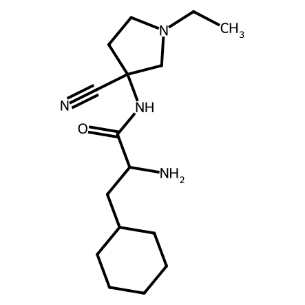 CCN1CCC(C#N)(NC(=O)C(N)CC2CCCCC2)C1